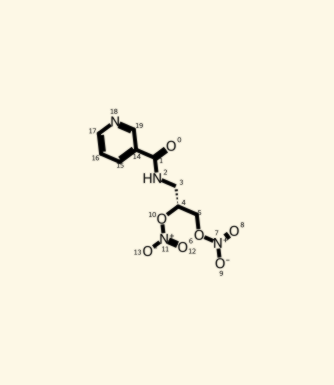 O=C(NC[C@H](CO[N+](=O)[O-])O[N+](=O)[O-])c1cccnc1